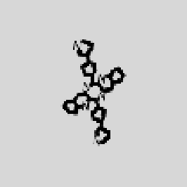 c1cncc(-c2ccc(/C3=N/c4cc5ccccc5nc4/C(c4ccc(-c5cccnc5)cc4)=N\c4cc5ccccc5nc43)cc2)c1